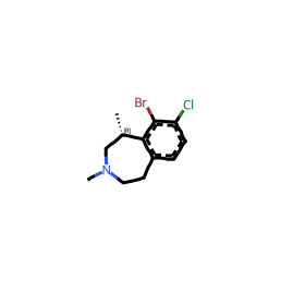 C[C@H]1CN(C)CCc2ccc(Cl)c(Br)c21